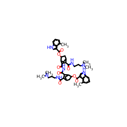 Cc1cccc2[nH]cc(C(=O)OC3CC4CC3C(C(=O)NC(=O)C3C5CC(CC5OC(=O)c5c[nH]c6cccc(C)c56)C3C(=O)NCCCN(C)C)C4C(=O)NCCCN(C)C)c12